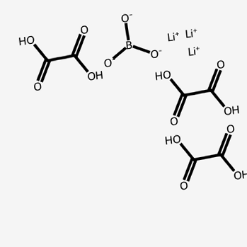 O=C(O)C(=O)O.O=C(O)C(=O)O.O=C(O)C(=O)O.[Li+].[Li+].[Li+].[O-]B([O-])[O-]